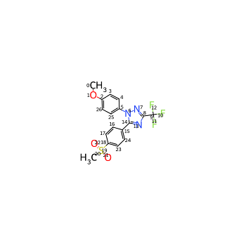 COc1ccc(-n2nc(C(F)(F)F)nc2-c2ccc(S(C)(=O)=O)cc2)cc1